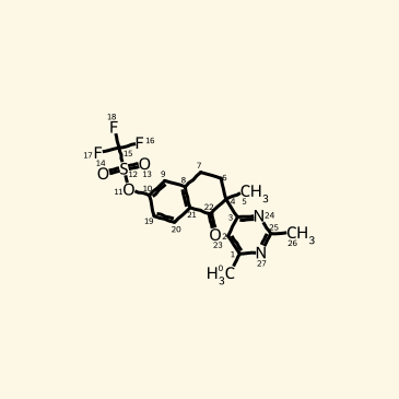 Cc1cc(C2(C)CCc3cc(OS(=O)(=O)C(F)(F)F)ccc3C2=O)nc(C)n1